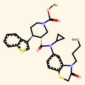 COCCCN1C(=O)CSc2ccc(N(C(=O)[C@H]3CN(C(=O)OC(C)(C)C)CC[C@@H]3c3csc4ccccc34)C3CC3)cc21